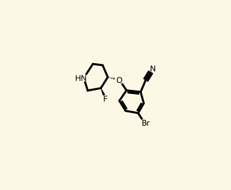 N#Cc1cc(Br)ccc1O[C@H]1CCNC[C@@H]1F